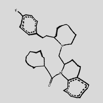 O=C(C1CCCCC1)N1c2ccccc2CCC1CN1CCCCC1Cc1ccc(F)cc1